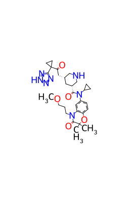 COCCCN1C(=O)C(C)(C)Oc2ccc(N(C(=O)[C@H]3CNC[C@@H](CC(=O)C4(c5nn[nH]n5)CC4)C3)C3CC3)cc21